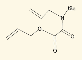 C=CCOC(=O)C(=O)N(CC=C)C(C)(C)C